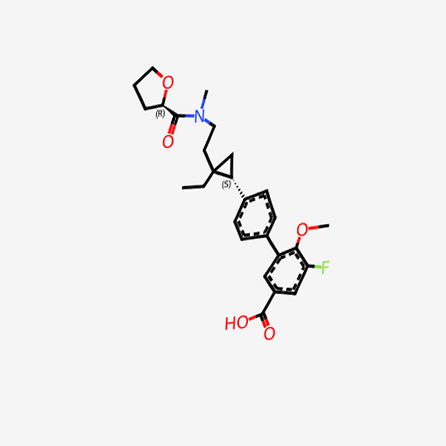 CCC1(CCN(C)C(=O)[C@H]2CCCO2)C[C@@H]1c1ccc(-c2cc(C(=O)O)cc(F)c2OC)cc1